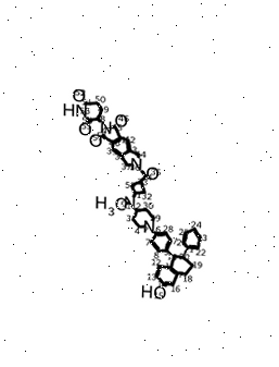 CN(C1CCN(c2ccc([C@@H]3c4ccc(O)cc4CC[C@@H]3c3ccccc3)cc2)CC1)C1CC(C(=O)N2Cc3cc4c(cc3C2)C(=O)N(C2CCC(=O)NC2=O)C4=O)C1